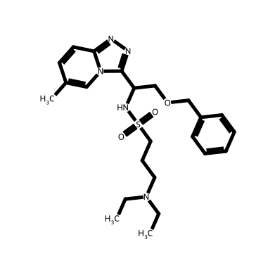 CCN(CC)CCCS(=O)(=O)NC(COCc1ccccc1)c1nnc2ccc(C)cn12